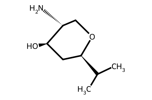 CC(C)[C@H]1C[C@@H](O)[C@H](N)CO1